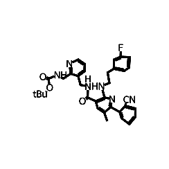 Cc1cc(C(=O)NCc2cccnc2CNC(=O)OC(C)(C)C)c(NCCc2cccc(F)c2)nc1-c1ccccc1C#N